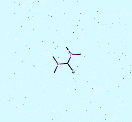 CCC(P(C)C)P(C)C